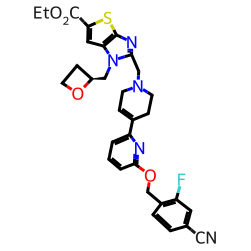 CCOC(=O)c1cc2c(nc(CN3CC=C(c4cccc(OCc5ccc(C#N)cc5F)n4)CC3)n2C[C@@H]2CCO2)s1